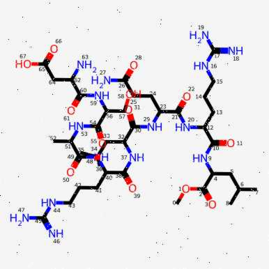 COC(=O)C(CC(C)C)NC(=O)C(CCCNC(=N)N)NC(=O)C(CCC(N)=O)NC(=O)C(CC(C)C)NC(=O)C(CCCNC(=N)N)NC(=O)C(C)NC(=O)C(CO)NC(=O)C(N)CC(=O)O